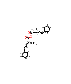 C/C(=C\C=C\c1ccccc1)C(=O)OC(=O)/C(C)=C/C=C/c1ccccc1